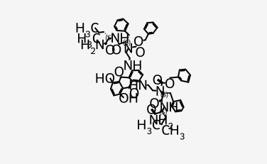 CC(C)C[C@H](NC(=O)[C@H](Cc1ccccc1)N(CCNc1ccc(NCCN(C(=O)OCc2ccccc2)[C@@H](Cc2ccccc2)C(=O)N[C@@H](CC(C)C)C(N)=O)c2c1C(=O)c1c(O)ccc(O)c1C2=O)C(=O)OCc1ccccc1)C(N)=O